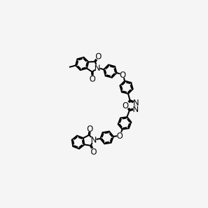 Cc1ccc2c(c1)C(=O)N(c1ccc(Oc3ccc(-c4nnc(-c5ccc(Oc6ccc(N7C(=O)c8ccccc8C7=O)cc6)cc5)o4)cc3)cc1)C2=O